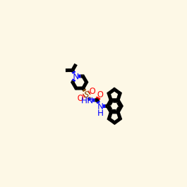 CC(C)N1CCC(S(=O)(=O)NC(=O)Nc2c3c(cc4c2CCC4)CCC3)CC1